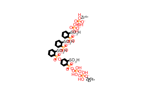 O=P([O-])(O)O.O=P([O-])(O)O.O=P([O-])(O)O.O=P([O-])(O)O.O=P([O-])([O-])c1ccccc1S(=O)(=O)O.O=P([O-])([O-])c1ccccc1S(=O)(=O)O.O=P([O-])([O-])c1ccccc1S(=O)(=O)O.O=P([O-])([O-])c1ccccc1S(=O)(=O)O.[Zr+4].[Zr+4].[Zr+4]